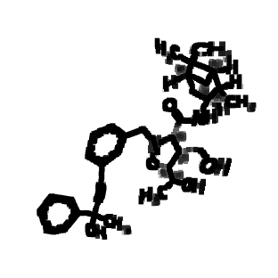 C[C@@H]1[C@@H](NC(=O)[C@@H]2[C@H](CO)[C@H]([C@H](C)O)ON2Cc2cccc(C#CC(C)(O)c3ccccc3)c2)C[C@H]2C[C@@H]1C2(C)C